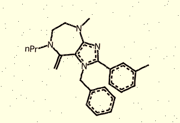 C=C1c2c(nc(-c3cccc(C)c3)n2Cc2ccccc2)N(C)CCN1CCC